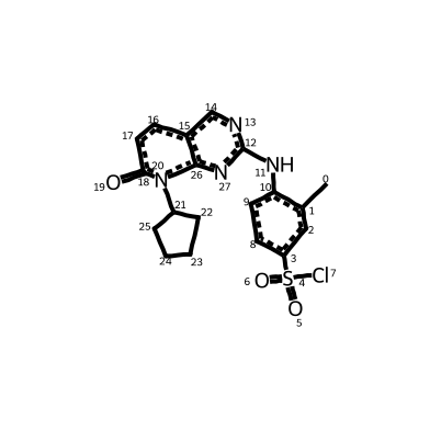 Cc1cc(S(=O)(=O)Cl)ccc1Nc1ncc2ccc(=O)n(C3CCCC3)c2n1